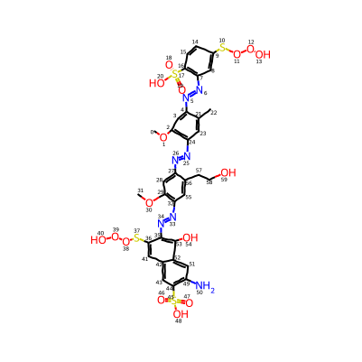 COc1cc(N=Nc2cc(SOOO)ccc2S(=O)(=O)O)c(C)cc1N=Nc1cc(OC)c(N=Nc2c(SOOO)cc3cc(S(=O)(=O)O)c(N)cc3c2O)cc1CCO